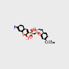 COc1ccc(/C=C\S(=O)(=O)CS(=O)(=O)c2cc3ccc(I)cc3sc2=O)cc1